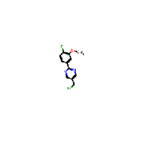 COc1cc(-c2ncc(CBr)cn2)ccc1F